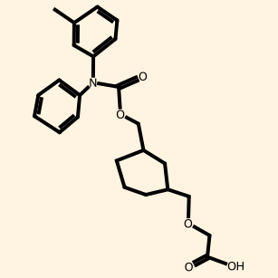 Cc1cccc(N(C(=O)OCC2CCCC(COCC(=O)O)C2)c2ccccc2)c1